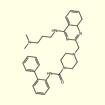 CN(C)CCCNC1=NC(CN2CCN(C(=O)Nc3ccccc3-c3ccccc3)CC2)=NC2CC=CC=C12